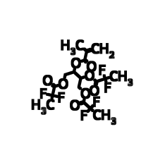 C=C(C)C(=O)OC(COC(=O)C(C)(F)F)C(COC(=O)C(C)(F)F)OC(=O)C(C)(F)F